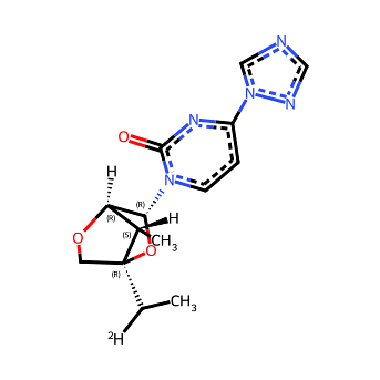 [2H]C(C)[C@@]12CO[C@@H]([C@H](n3ccc(-n4cncn4)nc3=O)O1)[C@@H]2C